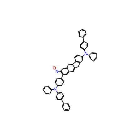 O=Nc1cc2cc3c(cc2cc1-c1ccc(N(c2ccccc2)c2ccc(-c4ccccc4)cc2)cc1)Cc1cc(N(c2ccccc2)c2ccc(-c4ccccc4)cc2)ccc1-3